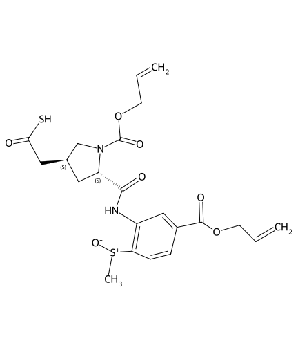 C=CCOC(=O)c1ccc([S+](C)[O-])c(NC(=O)[C@@H]2C[C@@H](CC(=O)S)CN2C(=O)OCC=C)c1